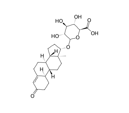 C[C@]12CC[C@H]3[C@@H](CCC4=CC(=O)CC[C@@H]43)[C@@H]1CC[C@@H]2OC1O[C@H](C(=O)O)[C@@H](O)[C@H](O)[C@H]1O